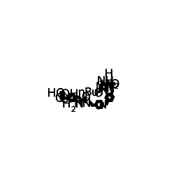 CCCCOc1nc(N)c2[nH]c(=O)n(Cc3ccc(CN4CCC(CCNC(=O)C(N)Cc5ccc(OP(=O)(O)O)cc5)CC4)cc3)c2n1